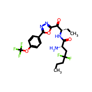 CCCC(F)(F)C[C@H](N)C(=O)N[C@@H](CC)C(=O)c1nnc(-c2ccc(OC(F)(F)F)cc2)o1